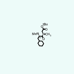 CN[C@@H](CC1CCCCC1)C(=O)N(C)CC(=O)OC(C)(C)C